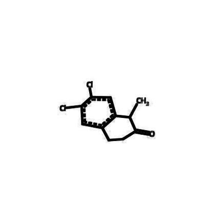 CC1C(=O)CCc2cc(Cl)c(Cl)cc21